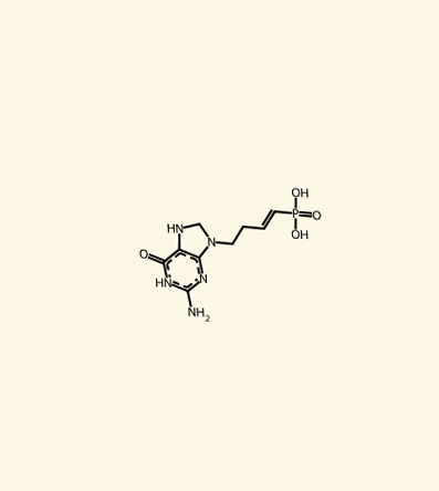 Nc1nc2c(c(=O)[nH]1)NCN2CCC=CP(=O)(O)O